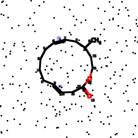 CC1C/C=C\CCCC/C=C/CC(=O)OCC1